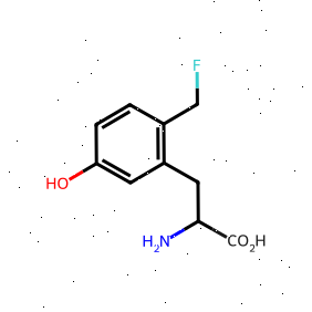 NC(Cc1cc(O)ccc1CF)C(=O)O